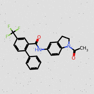 CC(=O)N1CCc2cc(NC(=O)c3cc(C(F)(F)F)ccc3-c3ccccc3)ccc21